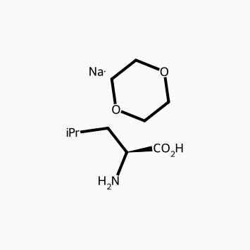 C1COCCO1.CC(C)C[C@H](N)C(=O)O.[Na]